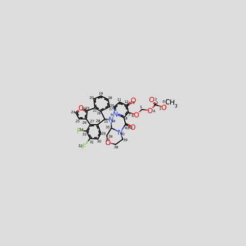 COC(=O)OCOc1c2n(ccc1=O)N(C1c3ccccc3-c3occc3-c3c1ccc(F)c3F)C1COCCN1C2=O